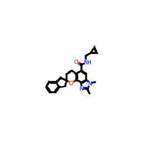 Cc1nc2c3c(c(C(=O)NCC4CC4)cc2n1C)CCC1(Cc2ccccc2C1)O3